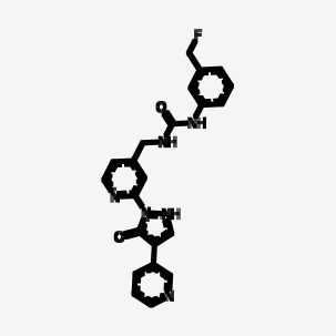 O=C(NCc1ccnc(-n2[nH]cc(-c3cccnc3)c2=O)c1)Nc1cccc(CF)c1